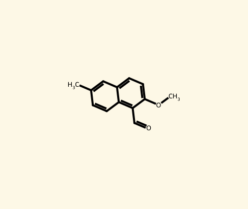 COc1ccc2cc(C)ccc2c1C=O